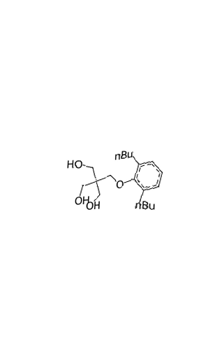 CCCCc1cccc(CCCC)c1OCC(CO)(CO)CO